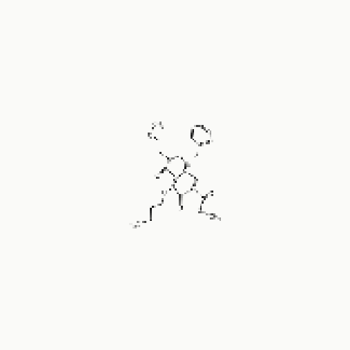 CCCCOc1c2n(cc(C(=O)OC)c1=O)[C@@H](Cc1ccccc1)CN(CCOC)C2=O